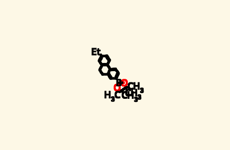 CCc1ccc2c(c1)CCc1cc(B3OC(C)(C)C(C)(C)O3)ccc1-2